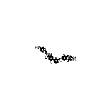 Cc1cc(C(=O)NCCN2CCC(O)CC2)ccc1-c1cccc(COc2ccc(Cn3oc(=O)[nH]c3=O)cc2)c1